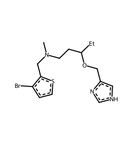 CCC(CCN(C)Cc1sccc1Br)OCc1c[nH]cn1